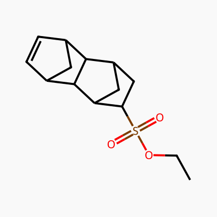 CCOS(=O)(=O)C1CC2CC1C1C3C=CC(C3)C21